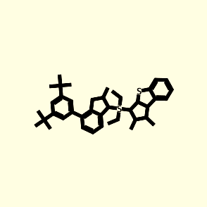 CCS(CC)(C1c2cccc(-c3cc(C(C)(C)C)cc(C(C)(C)C)c3)c2CC1C)C1C(C)C(C)C2c3ccccc3SC21